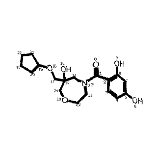 O=C(c1ccc(O)cc1O)N1CCOCC(O)(COC2CCCC2)C1